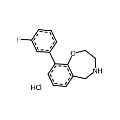 Cl.Fc1cccc(-c2cccc3c2OCCNC3)c1